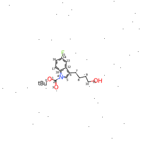 CC(C)(C)OC(=O)n1cc(CCCCO)c2cc(F)ccc21